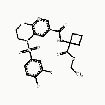 CCOC(=O)C1(NC(=O)c2cnc3c(c2)N(S(=O)(=O)c2ccc(Cl)c(Cl)c2)CCO3)CCC1